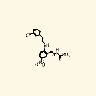 NC(=S)NN=Cc1cc([N+](=O)[O-])ccc1NCCc1cccc(Cl)c1